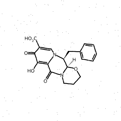 O=C(O)c1cn2c(c(O)c1=O)C(=O)N1CCCO[C@@H]1[C@@H]2Cc1ccccc1